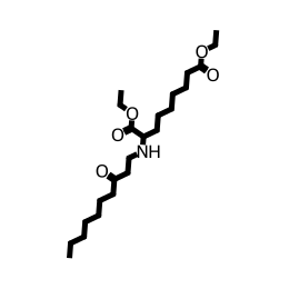 CCCCCCCC(=O)CCNC(CCCCCCC(=O)OCC)C(=O)OCC